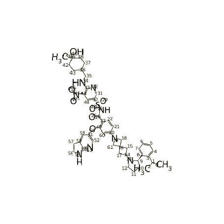 CC(C)c1ccccc1[C@H]1CCCN1C1CC2(C1)CN(c1ccc(C(=O)NS(=O)(=O)c3cnc(NCC4CCC(C)(O)CC4)c([N+](=O)[O-])c3)c(Oc3cnc4[nH]ccc4c3)c1)C2